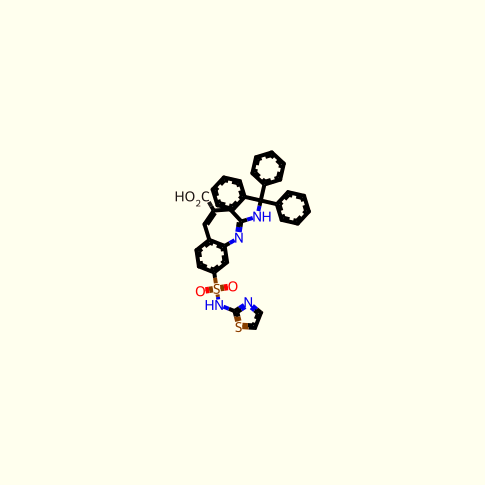 O=C(O)C1=Cc2ccc(S(=O)(=O)Nc3nccs3)cc2N=C(NC(c2ccccc2)(c2ccccc2)c2ccccc2)C1